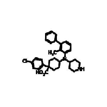 Cc1c(-c2ccccc2)cccc1N(C1CCNCC1)C1CCC(C(=O)O)(c2ccc(Cl)cc2)CC1